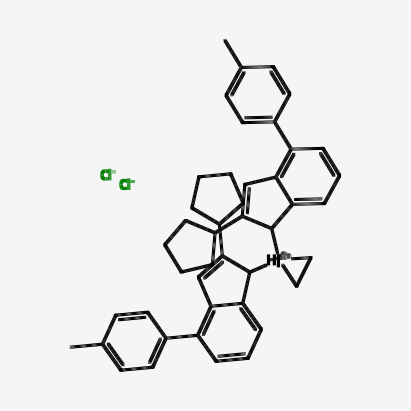 Cc1ccc(-c2cccc3c2C=C(C2CCCC2)[CH]3[Hf+2]2([CH]3C(C4CCCC4)=Cc4c(-c5ccc(C)cc5)cccc43)[CH2][CH2]2)cc1.[Cl-].[Cl-]